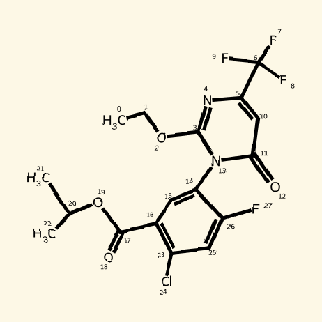 CCOc1nc(C(F)(F)F)cc(=O)n1-c1cc(C(=O)OC(C)C)c(Cl)cc1F